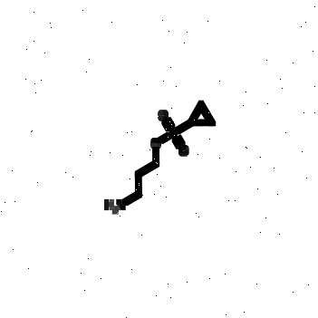 NCCCOS(=O)(=O)C1CC1